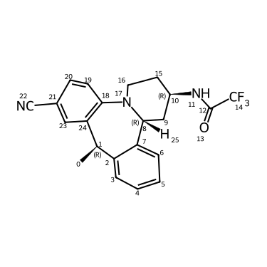 C[C@@H]1c2ccccc2[C@H]2C[C@H](NC(=O)C(F)(F)F)CCN2c2ccc(C#N)cc21